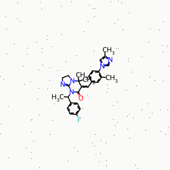 Cc1cn(-c2ccc(/C=C3/C(=O)N(C(C)c4ccc(F)cc4)C4=NCCN4C3(C)C)cc2C)cn1